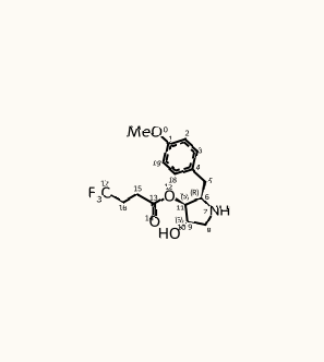 COc1ccc(C[C@H]2NC[C@H](O)[C@H]2OC(=O)CCC(F)(F)F)cc1